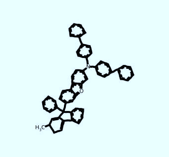 CC1C=C2C(=CC1)c1ccccc1C2(c1ccccc1)c1ccc2c(c1)oc1cc(N(c3ccc(-c4ccccc4)cc3)c3ccc(-c4ccccc4)cc3)ccc12